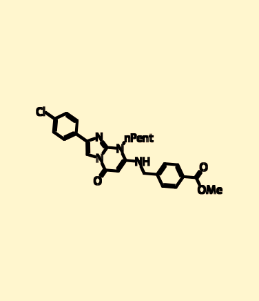 CCCCCn1c(NCc2ccc(C(=O)OC)cc2)cc(=O)n2cc(-c3ccc(Cl)cc3)nc12